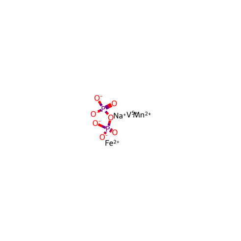 O=P([O-])([O-])OP(=O)([O-])[O-].[Fe+2].[Mn+2].[Na+].[V+5]